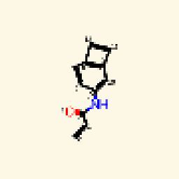 C=CC(=O)Nc1ccc2c(c1)C=C2